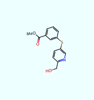 COC(=O)c1cccc(Sc2ccc(CO)nc2)c1